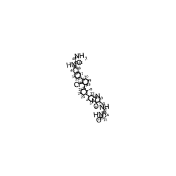 Cc1c(-c2ccn3c(=O)c(CNC[C@H]4CCC(=O)N4)cnc3c2)cccc1-c1cccc(-c2ccc3c(c2)C[C@H](NC(=O)CN)C3)c1Cl